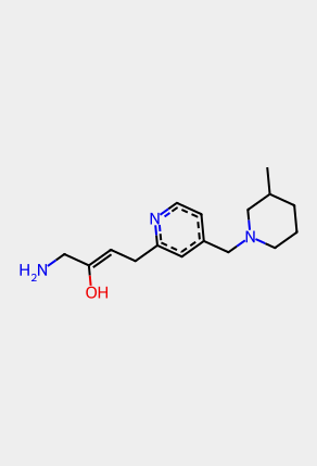 CC1CCCN(Cc2ccnc(CC=C(O)CN)c2)C1